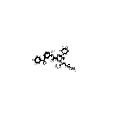 COCCN(C)c1cc(C(=O)Nc2cccc(C(=O)c3ccccc3)c2)nc(N2CCOCC2)n1